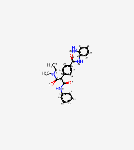 CCN(C)C(=O)C(C(=O)Nc1ccccc1)c1ccc(C(=O)Nc2ccccc2N)cc1